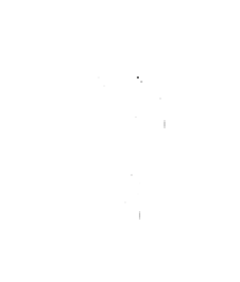 COC(=O)c1c(Cl)c(C(=O)C(=O)N[C@H]2CC[C@@H](CC(=O)OC(C)(C)C)CC2)n2c1CCC2